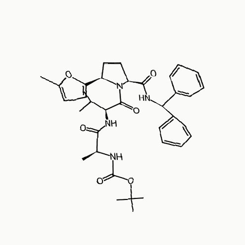 Cc1ccc([C@H]2CC[C@@H](C(=O)NC(c3ccccc3)c3ccccc3)N2C(=O)[C@@H](NC(=O)[C@H](C)NC(=O)OC(C)(C)C)C(C)C)o1